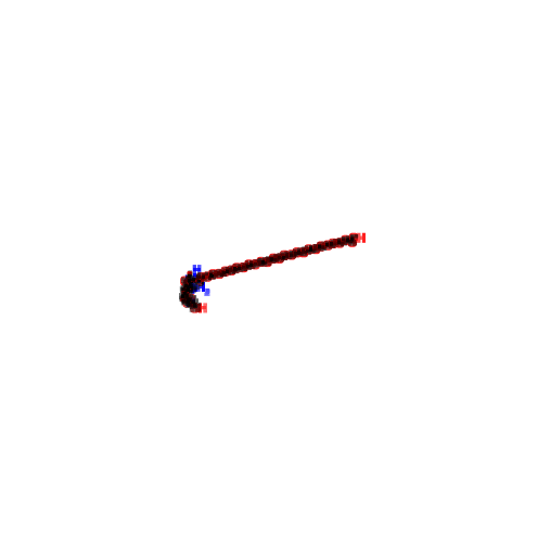 CCCN(CCCNC(=O)OCCOCCOCCOCCOCCOCCOCCOCCOCCOCCOCCOCCOCCOCCOCCOCCOCCOCCOCCOCCOCCOCCOCCOCCOCCC(=O)O)C(=O)C1=Cc2ccc(-c3cccc(S(=O)(=O)N4CC(CO)C4)c3)cc2N=C(N)C1